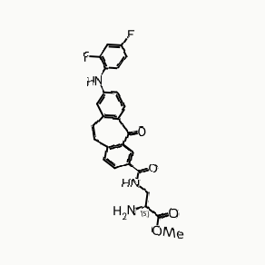 COC(=O)[C@@H](N)CNC(=O)c1ccc2c(c1)C(=O)c1ccc(Nc3ccc(F)cc3F)cc1CC2